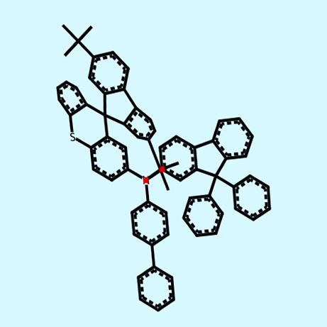 CC(C)(C)c1ccc2c(c1)C1(c3ccccc3Sc3ccc(N(c4ccc(-c5ccccc5)cc4)c4ccc5c(c4)C(c4ccccc4)(c4ccccc4)c4ccccc4-5)cc31)c1cc(C(C)(C)C)ccc1-2